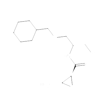 CC(C)C[C@@H](COCC1CCCCC1)NC(=O)[C@H]1O[C@@H]1C(=O)O